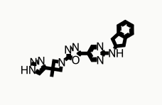 CC1(c2c[nH]nn2)CN(c2nnc(-c3cnc(NC4Cc5ccccc5C4)nc3)o2)C1